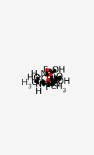 Cc1c(F)c(N2CC(NC(C)CO)C2)c(Cl)c2c1c(=O)c(C(=O)O)cn2-c1cc(N)c(F)cc1CO